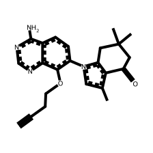 C#CCCOc1c(-n2cc(C)c3c2CC(C)(C)CC3=O)ccc2c(N)ncnc12